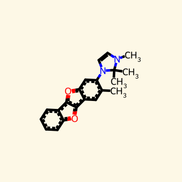 Cc1cc2c(cc1N1C=CN(C)C1(C)C)oc1c3ccccc3oc21